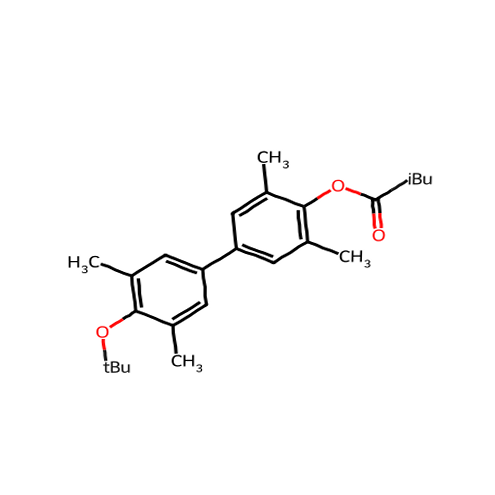 CCC(C)C(=O)Oc1c(C)cc(-c2cc(C)c(OC(C)(C)C)c(C)c2)cc1C